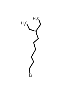 [Li][CH2]CCCCCN(CC)CC